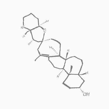 CC1=C2C[C@H]3[C@@H](CC[C@@H]4C[C@H](O)CC[C@@]43C)[C@@H]2CC[C@@]2(C1)O[C@@H]1CCCN[C@H]1[C@H]2C